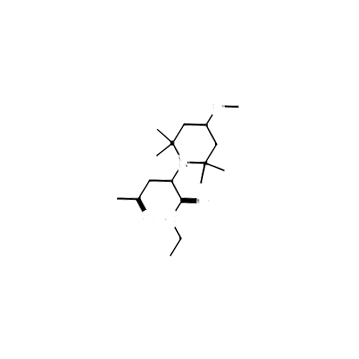 CCOC(=O)C(CC(C)=O)N1C(C)(C)CC(OC)CC1(C)C